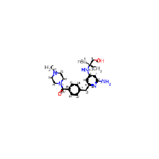 CCCC[C@](C)(CO)Nc1cc(N)nc(Cc2ccc(C(=O)N3CCN(C)CC3)cc2)c1